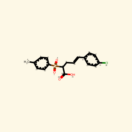 Cc1ccc(S(=O)(=O)C(CC=Cc2ccc(Cl)cc2)C(=O)O)cc1